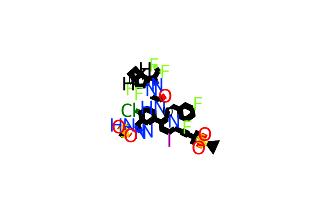 Cn1nc(NS(C)(=O)=O)c2c(Cl)ccc(-c3cc(I)c(C#CC(C)(C)S(=O)(=O)C4CC4)nc3[C@H](Cc3cc(F)cc(F)c3)NC(=O)Cn3nc(C(F)F)c4c3C(F)(F)[C@@H]3CC[C@H]43)c21